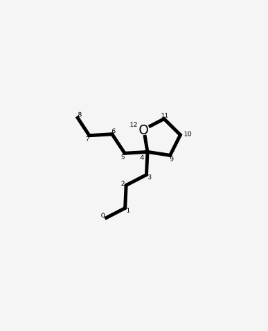 CCCCC1(CCCC)CCCO1